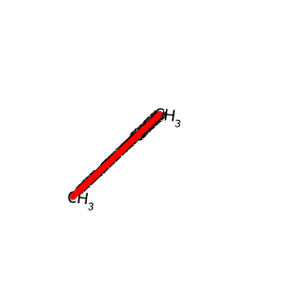 CCCCCCCCCCCCCCCCCCCCCCCCCCCCCCCCCCCCCCCCCCCCCCCCCCCCCCCCCCCCCCCCCCCCCCCCCCCCCCCCCCCCCCCCCCCCCCCCCCCCCCCCCCCCCCCCCCCCCCCCCCCCCCCCCCCCCCCCCCCC